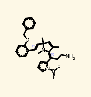 CC1=CC(C)(/C=C/c2ccccc2OCc2ccccc2)N(C)/C1=C(/CCN)c1cccn1B(F)F